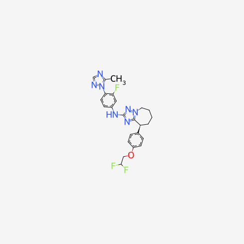 Cc1ncnn1-c1ccc(Nc2nc3n(n2)CCCC[C@H]3c2ccc(OCC(F)F)cc2)cc1F